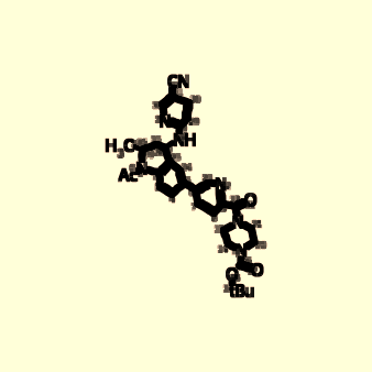 CC(=O)N1c2ccc(-c3ccc(C(=O)N4CCN(C(=O)OC(C)(C)C)CC4)nc3)cc2[C@H](Nc2ccc(C#N)cn2)C[C@@H]1C